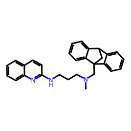 CN(CCCNc1ccc2ccccc2n1)CC12CC(c3ccccc31)c1ccccc12